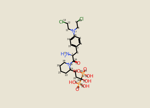 N[C@@H](Cc1ccc(N(CCCl)CCCl)cc1)C(=O)N1CCCCC1CCC(O)(P(=O)(O)O)P(=O)(O)O